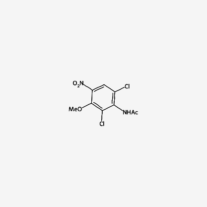 COc1c([N+](=O)[O-])cc(Cl)c(NC(C)=O)c1Cl